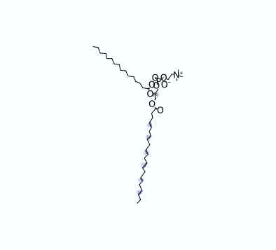 CC/C=C/C/C=C/C/C=C/C/C=C/C/C=C/C/C=C/CCC(=O)OC[C@H](COP(=O)([O-])OCC[N+](C)(C)C)OC(=O)CCCCCCCCCCCCCCC